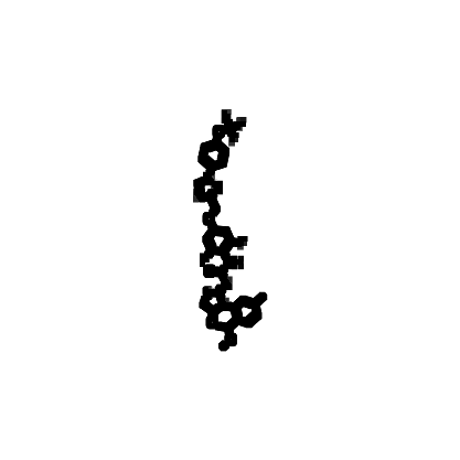 COC(C)c1ccc(C)cc1N1C(=O)CSC1=NC(=O)Nc1c(F)cc(OCc2ncn(-c3ccc(OC(F)(F)F)cc3)n2)cc1F